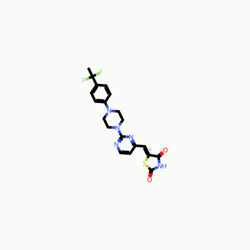 CC(F)(F)c1ccc(N2CCN(c3nccc(/C=C4\SC(=O)NC4=O)n3)CC2)cc1